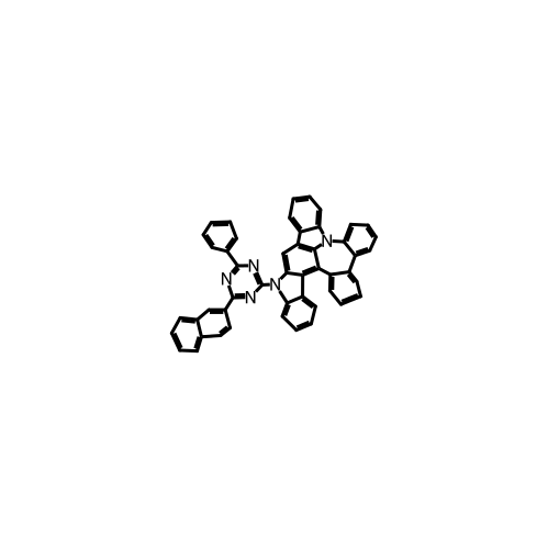 c1ccc(-c2nc(-c3ccc4ccccc4c3)nc(-n3c4ccccc4c4c5c6c(cc43)c3ccccc3n6-c3ccccc3-c3ccccc3-5)n2)cc1